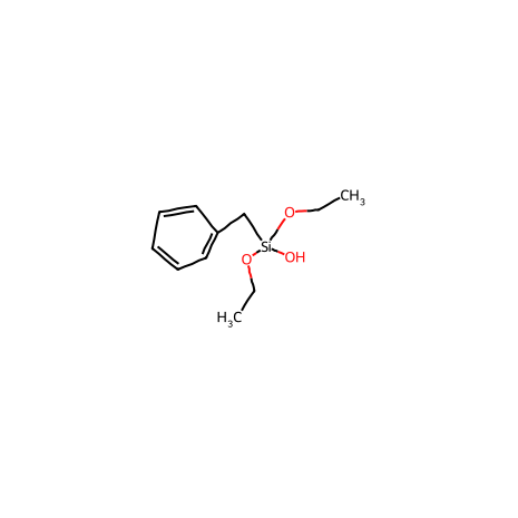 CCO[Si](O)(Cc1ccccc1)OCC